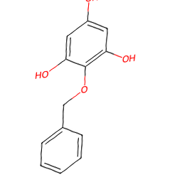 Oc1cc(O)c(OCc2ccccc2)c(O)c1